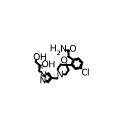 NC(=O)C1OC2(CCN(Cc3cnn(C[C@@H](O)CO)c3)CC2)c2cc(Cl)ccc21